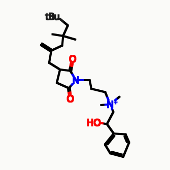 C=C(CC1CC(=O)N(CCC[N+](C)(C)CC(O)c2ccccc2)C1=O)CC(C)(C)CC(C)(C)C